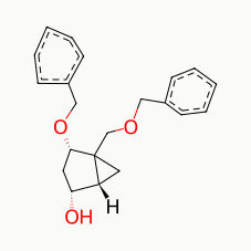 O[C@@H]1C[C@H](OCc2ccccc2)C2(COCc3ccccc3)C[C@H]12